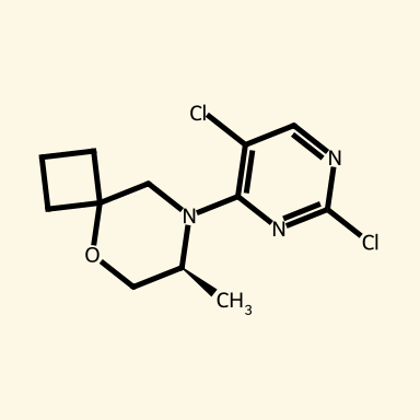 C[C@H]1COC2(CCC2)CN1c1nc(Cl)ncc1Cl